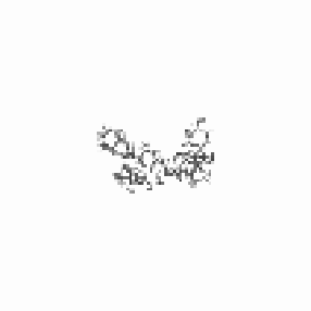 Cc1ccc(S(=O)(=O)N2CCC[C@H]2C(=O)N[C@@H](Cc2ccc(N(Cc3ccccc3)Cc3ccccc3)cc2)C(=O)O)cc1